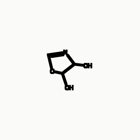 OC1N=COC1O